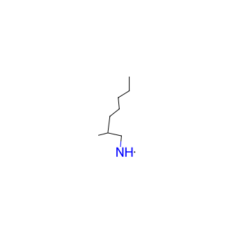 CCCCCC(C)C[NH]